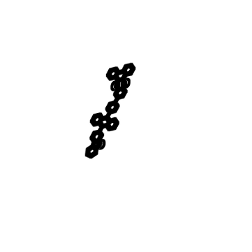 c1ccc2c(c1)oc1cc(-c3c4ccccc4c(-c4ccc(-c5ccc6c(c5)Oc5c(c7ccccc7c7ccccc57)O6)cc4)c4ccccc34)ccc12